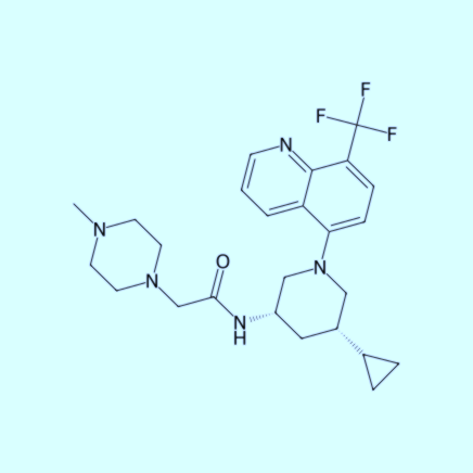 CN1CCN(CC(=O)N[C@H]2C[C@@H](C3CC3)CN(c3ccc(C(F)(F)F)c4ncccc34)C2)CC1